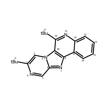 CC(C)(C)c1cn2c(cn1)nc1c3ccccc3nc(C(C)(C)C)c12